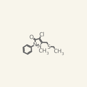 CCSCc1c(Cl)c(=O)n(-c2ccccc2)n1C